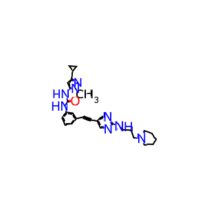 Cn1nc(C2CC2)cc1NC(=O)Nc1cccc(C#Cc2cnc(NCCCN3CCCCC3)nc2)c1